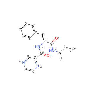 CC(C)CC(C)NC(=O)[C@H](Cc1ccccc1)NC(=O)c1cnccn1